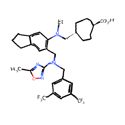 CCN(C[C@H]1CC[C@H](C(=O)O)CC1)c1cc2c(cc1CN(Cc1cc(C(F)(F)F)cc(C(F)(F)F)c1)c1noc(C)n1)CCC2